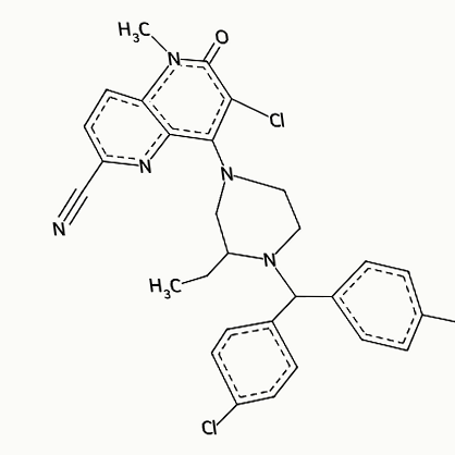 CCC1CN(c2c(Cl)c(=O)n(C)c3ccc(C#N)nc23)CCN1C(c1ccc(Cl)cc1)c1ccc(Cl)cc1